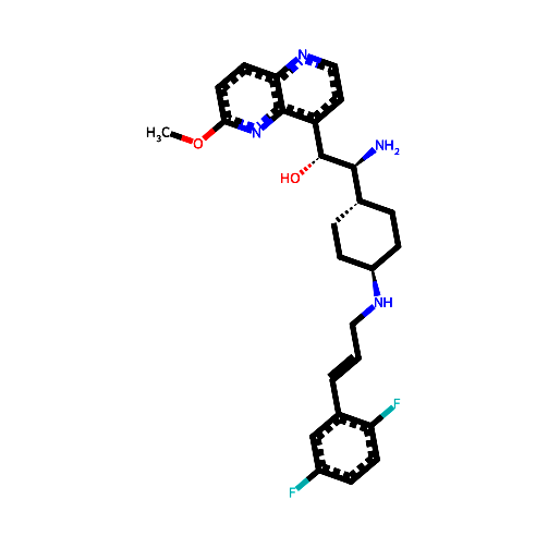 COc1ccc2nccc([C@@H](O)[C@@H](N)[C@H]3CC[C@H](NC/C=C/c4cc(F)ccc4F)CC3)c2n1